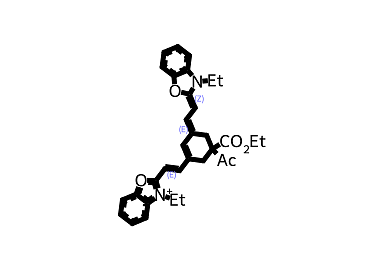 CCOC(=O)C1(C(C)=O)CC(/C=C/c2oc3ccccc3[n+]2CC)=CC(=C/C=C2\Oc3ccccc3N2CC)/C1